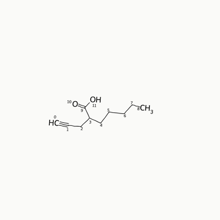 C#CCC(CCCCC)C(=O)O